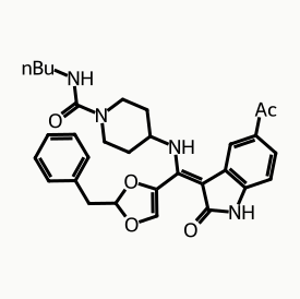 CCCCNC(=O)N1CCC(NC(C2=COC(Cc3ccccc3)O2)=C2C(=O)Nc3ccc(C(C)=O)cc32)CC1